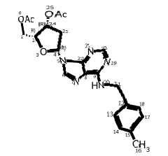 CC(=O)OC[C@H]1O[C@@H](n2cnc3c(NCc4ccc(C)cc4)ncnc32)C[C@H]1OC(C)=O